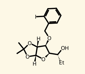 CC[C@@H](O)[C@H]1O[C@@H]2OC(C)(C)O[C@@H]2[C@H]1OCc1ccccc1I